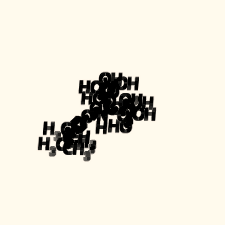 CC(C)(C)CC(C)(C)c1ccc(OCC(=O)NC(CO[C@H]2OC(CO)[C@H](O)[C@@H](O)C2O)CO[C@H]2OC(CO)[C@H](O)[C@@H](O)C2O)cc1